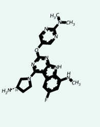 CNc1cc(F)cc2c1[nH]c1nc(Oc3cnc(N(C)C)nc3)nc(N3CC[C@H](N)C3)c12